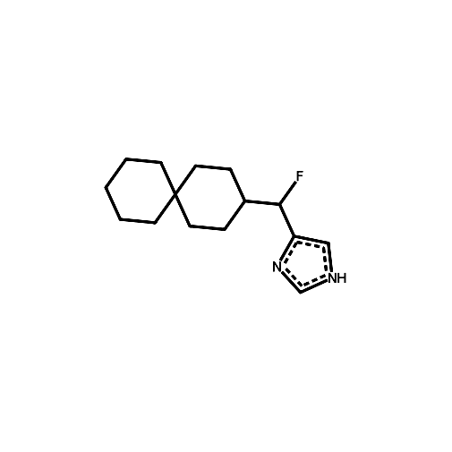 FC(c1c[nH]cn1)C1CCC2(CCCCC2)CC1